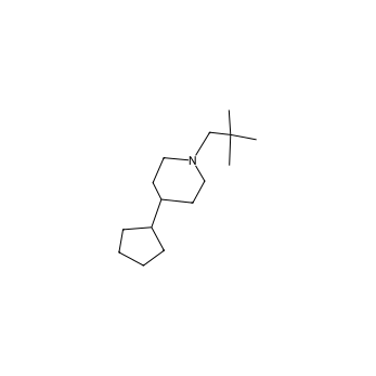 CC(C)(C)CN1CCC(C2CCCC2)CC1